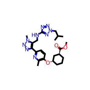 COC(=O)[C@H]1CCC[C@H](Oc2ccc(-c3nnn(C)c3CNc3nnn(CC(C)C)n3)nc2C)C1